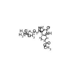 COC(=O)c1ccc2c(c1)[nH]c(=O)c1cnn(COCC[Si](C)(C)C)c12